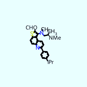 CN[C@H](C)CN(C)c1c(C=O)sc2ccc3nc(-c4ccc(C(C)C)cc4)ccc3c12